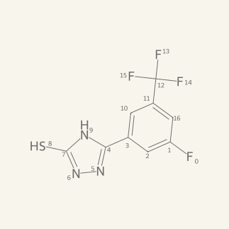 Fc1cc(-c2nnc(S)[nH]2)cc(C(F)(F)F)c1